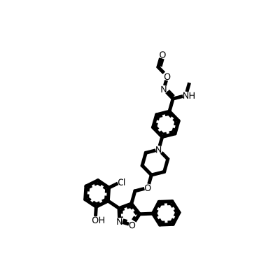 CN/C(=N\OC=O)c1ccc(N2CCC(OCc3c(-c4c(O)cccc4Cl)noc3-c3ccccc3)CC2)cc1